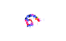 Cc1cc2cc(n1)-c1cnn(C)c1OCCC[C@@H](C)CN1/C(=N/C2=O)Nc2ccc(CN3CCC4(CC3)CCN(C(=O)C3CN(c5cc(F)c([C@H]6CCC(=O)NC6=O)c(F)c5)C3)CC4)cc21